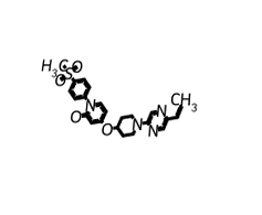 C/C=C\c1cnc(N2CCC(Oc3ccn(-c4ccc(S(C)(=O)=O)cc4)c(=O)c3)CC2)cn1